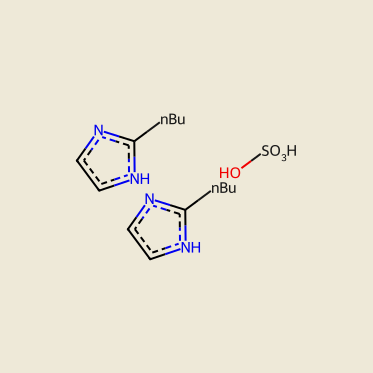 CCCCc1ncc[nH]1.CCCCc1ncc[nH]1.O=S(=O)(O)O